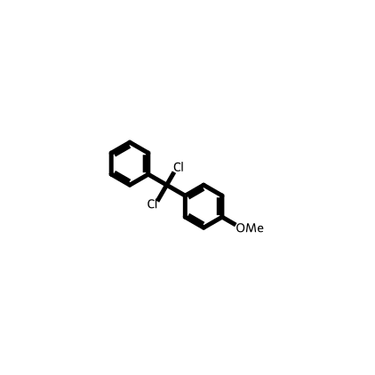 COc1ccc(C(Cl)(Cl)c2ccccc2)cc1